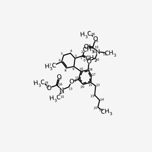 C=C(C)C1CCC(C)=CC1c1c(OCN(C)C(=O)OC)cc(CCCCC)cc1OCN(C)C(=O)OC